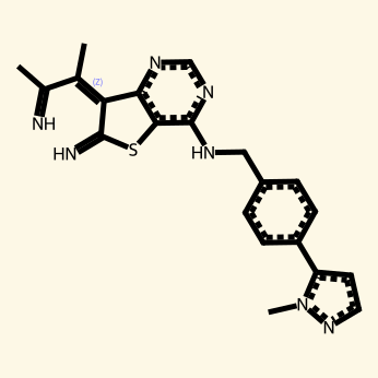 CC(=N)/C(C)=C1\C(=N)Sc2c(NCc3ccc(-c4ccnn4C)cc3)ncnc21